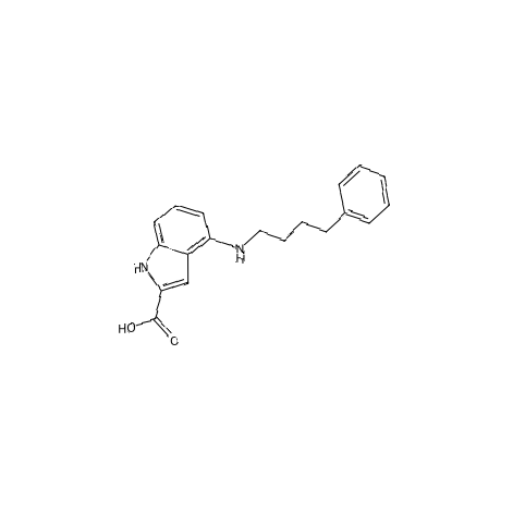 O=C(O)c1cc2c(NCCCCc3ccccc3)cccc2[nH]1